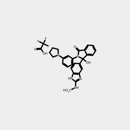 O=C(O)C(F)(F)F.O=C(O)Nc1nc2cc(C3(O)c4ccccc4C(=O)N3c3cccc(N4CCCC4)c3)ccc2[nH]1